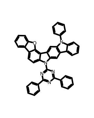 c1ccc(-c2nc(-c3ccccc3)nc(-n3c4cc5c6ccccc6n(-c6ccccc6)c5cc4c4c5oc6ccccc6c5ccc43)n2)cc1